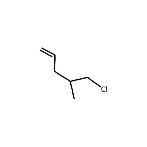 C=CCC(C)CCl